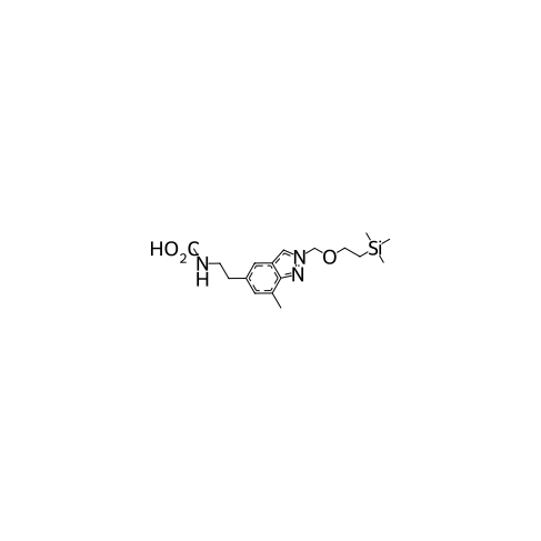 Cc1cc(CCNC(=O)O)cc2cn(COCC[Si](C)(C)C)nc12